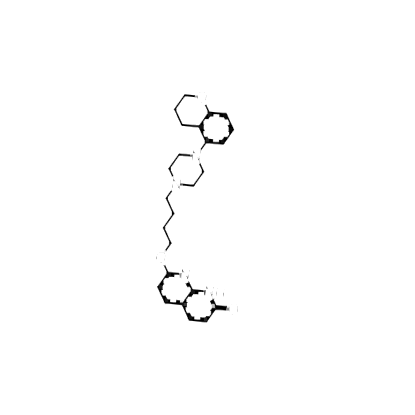 O=c1ccc2ccc(OCCCCN3CCN(c4cccc5c4CCCO5)CC3)nc2[nH]1